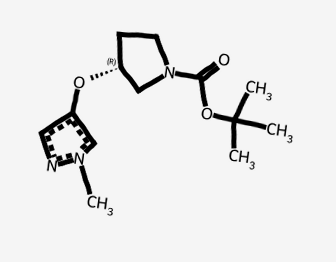 Cn1cc(O[C@@H]2CCN(C(=O)OC(C)(C)C)C2)cn1